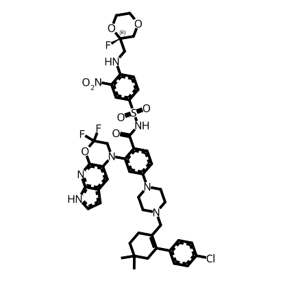 CC1(C)CCC(CN2CCN(c3ccc(C(=O)NS(=O)(=O)c4ccc(NC[C@@]5(F)COCCO5)c([N+](=O)[O-])c4)c(N4CC(F)(F)Oc5nc6[nH]ccc6cc54)c3)CC2)=C(c2ccc(Cl)cc2)C1